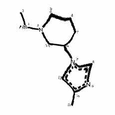 CBN1CCCC(n2cnc(C)c2)C1